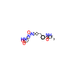 N=S(=O)(c1cccc(CC2CC3(C2)CN(C(=O)N2CC4(CCS(=O)(=O)N4)C2)C3)c1)C(F)(F)F